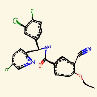 CCOc1ccc(C(=O)NC(c2ccc(Cl)c(Cl)c2)c2ccc(Cl)cn2)cc1C#N